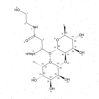 CCCCCCCC(CC(=O)NCCO)O[C@@H]1O[C@@H](C)[C@H](O)[C@@H](O)[C@H]1O[C@H]1O[C@@H](C)[C@@H](O)[C@H](O)[C@@H]1O